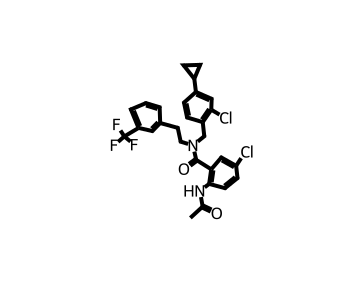 CC(=O)Nc1ccc(Cl)cc1C(=O)N(CCc1cccc(C(F)(F)F)c1)Cc1ccc(C2CC2)cc1Cl